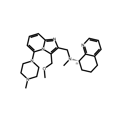 COCc1c(CN(C)[C@H]2CCCc3cccnc32)nc2cccc(N3CCN(C)CC3)n12